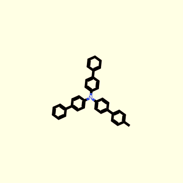 Cc1ccc(-c2ccc(N(c3ccc(C4=CCCC=C4)cc3)c3ccc(-c4ccccc4)cc3)cc2)cc1